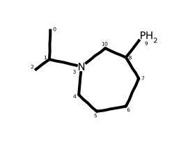 CC(C)N1CCCCC(P)C1